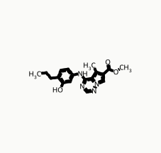 CCCc1ccc(Nc2ncnn3cc(C(=O)OC)c(C)c23)cc1O